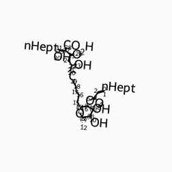 CCCCCCCC=CC(=O)O[C@@H]1[C@H](O)[C@@H](O)[C@H](C)O[C@H]1CCCCCCCC(O)CC(=O)C(C(=O)O)C(O)CCCCCCC